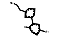 CC(C)(C)c1ccc(F)c(-c2cccc(CCC#N)c2)c1